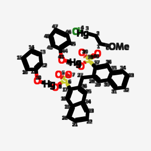 COC[CH2][Hg][Cl].O=S(=O)([O][Hg][O]c1ccccc1)c1cc2ccccc2cc1Cc1cc2ccccc2cc1S(=O)(=O)[O][Hg][O]c1ccccc1